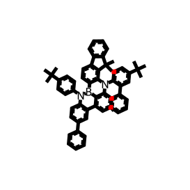 Cc1cc2c3c(c1)N(c1ccc(C(C)(C)C)cc1-c1ccccc1)c1c(ccc4c1C(C)(C)c1ccccc1-4)B3N(c1ccc(C(C)(C)C)cc1)c1ccc(-c3ccccc3)cc1-2